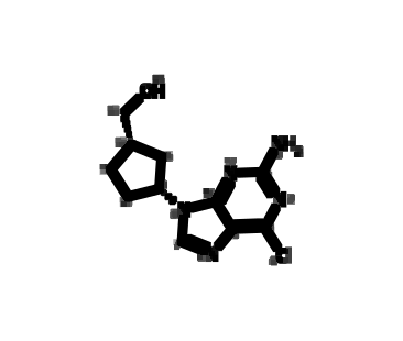 Nc1nc(Cl)c2ncn([C@@H]3CC[C@H](CO)C3)c2n1